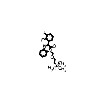 C[Si](C)(C)CCOCn1c(=O)c(-c2cccc(I)c2F)nc2ccccc21